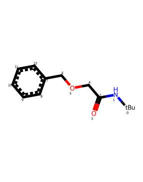 CC(C)(C)NC(=O)COCc1ccccc1